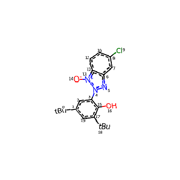 CC(C)(C)c1cc(-n2nc3cc(Cl)ccc3[n+]2[O-])c(O)c(C(C)(C)C)c1